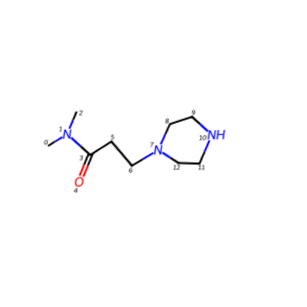 CN(C)C(=O)CCN1CCNCC1